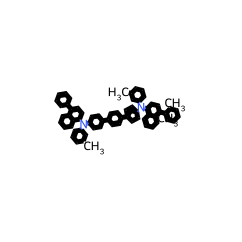 CC1CC=CC(N(C2CCC(C3C=CC(C45CCC(N(C6=C7C=CCCC7(C)C(C7=CCCCC7C)CC6)C6CCCC(C)C6)(CC4)C5)CC3)CC2)C2CC=C(C3CC=CCC3)C3CCCCC32)C1